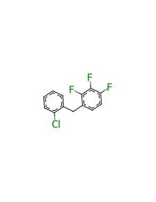 Fc1ccc(Cc2ccccc2Cl)c(F)c1F